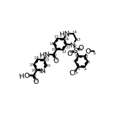 COc1ccc(Cl)cc1S(=O)(=O)N1CCNc2ccc(C(=O)Nc3ccc(C(=O)O)nc3)cc21